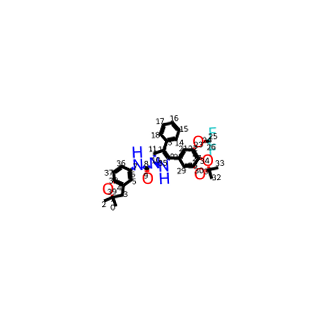 CC1(C)Cc2cc(NC(=O)N3CC(c4ccccc4)=C(c4cc(OC(F)F)c5c(c4)OC(C)(C)O5)N3)ccc2O1